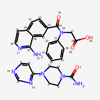 NC(=O)N1CCN(c2ccncn2)CC1.Nc1nccc2ccc(C(=O)N(CC(=O)O)c3ccccc3)cc12